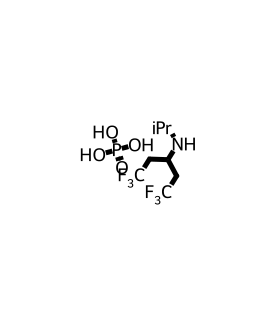 CC(C)NC(CC(F)(F)F)CC(F)(F)F.O=P(O)(O)O